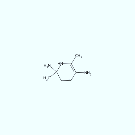 CC1=C(N)C=CC(C)(N)N1